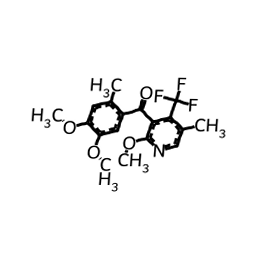 COc1cc(C)c(C(=O)c2c(OC)ncc(C)c2C(F)(F)F)cc1OC